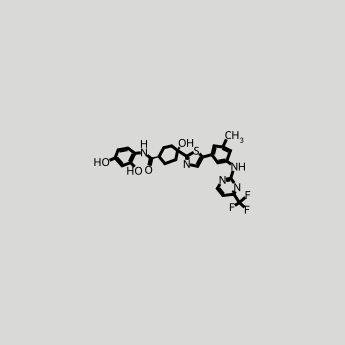 Cc1cc(Nc2nccc(C(F)(F)F)n2)cc(-c2cnc([C@]3(O)CC[C@@H](C(=O)Nc4ccc(O)cc4O)CC3)s2)c1